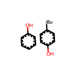 CCC(C)c1ccc(O)cc1.Oc1ccccc1